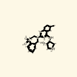 Cc1ccc2nc(N3CCS(=O)(=O)c4ccccc4C3)nc(N[C@H]3CNC[C@@H]3O)c2c1